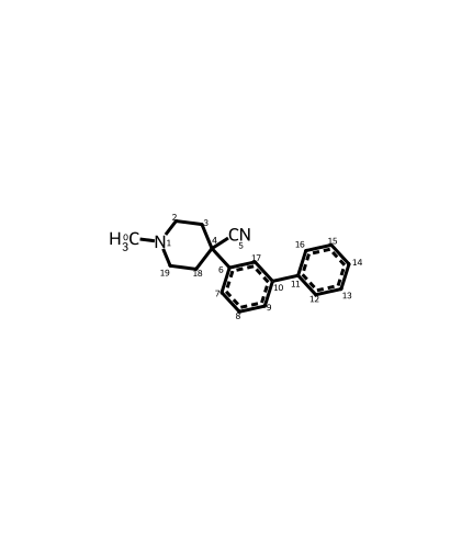 CN1CCC(C#N)(c2cccc(-c3ccccc3)c2)CC1